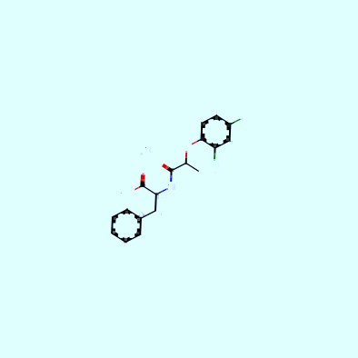 CC(Oc1ccc(Cl)cc1Cl)C(=O)NC(Cc1ccccc1)C(=O)[O-].[Na+]